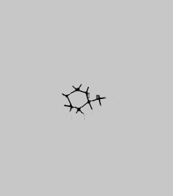 F[C]1C(F)(F)C(F)(F)C(F)(C(F)(F)C(F)(F)F)C(F)(F)C1(F)F